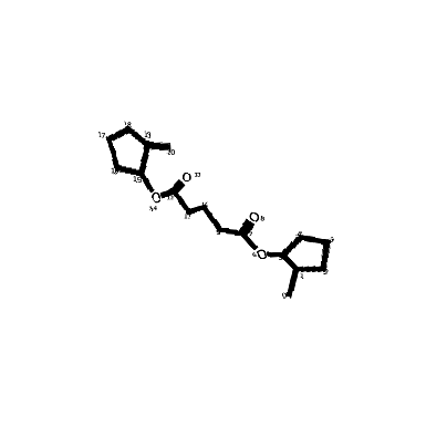 CC1CCCC1OC(=O)CCCC(=O)OC1CCCC1C